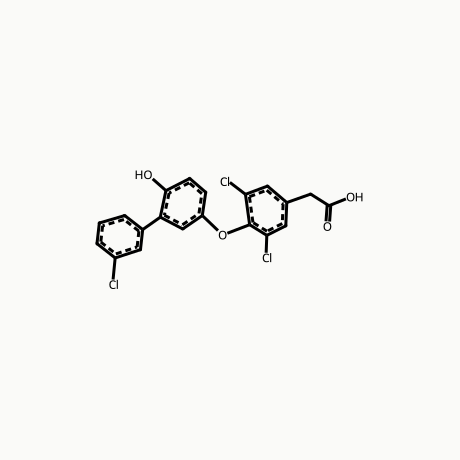 O=C(O)Cc1cc(Cl)c(Oc2ccc(O)c(-c3cccc(Cl)c3)c2)c(Cl)c1